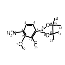 COc1c(N)ccc(B2OC(C)(C)C(C)(C)O2)c1F